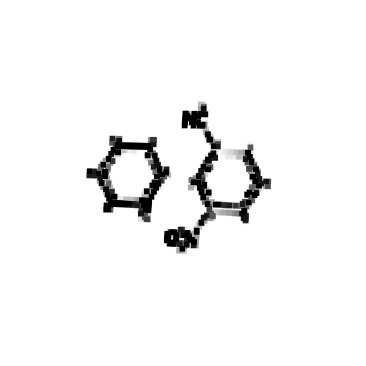 N#Cc1cccc([N+](=O)[O-])c1-c1ccccn1